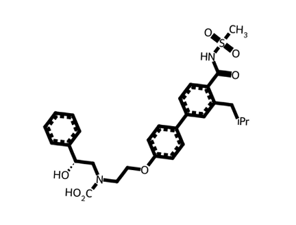 CC(C)Cc1cc(-c2ccc(OCCN(C[C@H](O)c3ccccc3)C(=O)O)cc2)ccc1C(=O)NS(C)(=O)=O